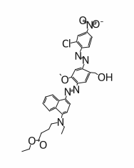 CCOC(=O)CCCN(CC)c1ccc(N=Nc2cc(CO)c(N=Nc3ccc([N+](=O)[O-])cc3Cl)cc2OC)c2ccccc12